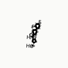 O=S(=O)(N[C@H]1CC[C@H](CO)C1)c1ccc(-c2ccc(F)cc2F)cc1